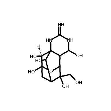 N=C1NC(O)C2C3OC4(O)CC(C(O)C2(N1)[C@@H]4O)C3(O)CO